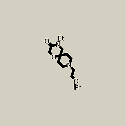 CCN1CC2(CCN(CCOC(C)C)CC2)OCC1=O